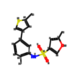 Cc1cc(S(=O)(=O)Nc2cc(-c3csc(C)c3)ccc2C)co1